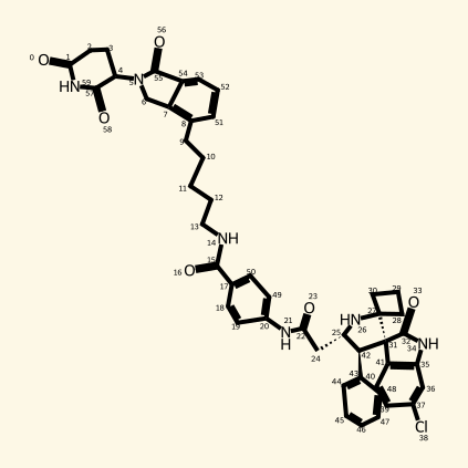 O=C1CCC(N2Cc3c(CCCCCNC(=O)c4ccc(NC(=O)C[C@@H]5NC6(CCC6)[C@@]6(C(=O)Nc7cc(Cl)ccc76)[C@H]5c5ccccc5)cc4)cccc3C2=O)C(=O)N1